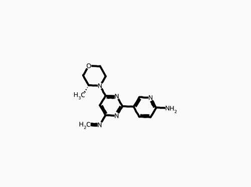 C=Nc1cc(N2CCOC[C@H]2C)nc(-c2ccc(N)nc2)n1